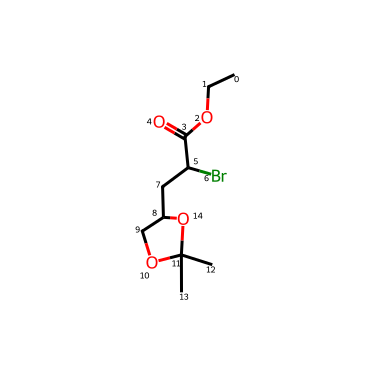 CCOC(=O)C(Br)CC1COC(C)(C)O1